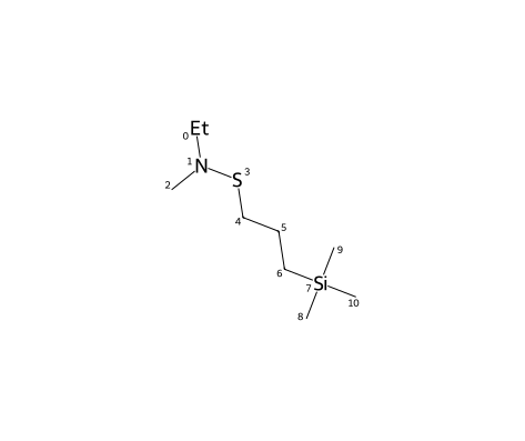 CCN(C)SCCC[Si](C)(C)C